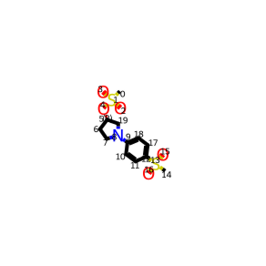 CS(=O)(=O)O[C@@H]1CCN(c2ccc(S(C)(=O)=O)cc2)C1